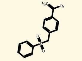 C=C(C#N)c1ccc(CS(=O)(=O)c2ccccc2)cc1